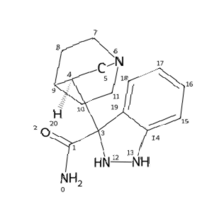 NC(=O)C1([C@@H]2CN3CCC2CC3)NNc2ccccc21